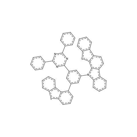 c1ccc(-c2nc(-c3ccccc3)nc(-c3cc(-c4cccc5sc6ccccc6c45)cc(-n4c5ccccc5c5ccc6c7ccccc7sc6c54)c3)n2)cc1